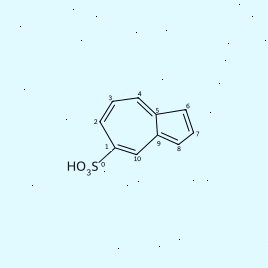 O=S(=O)(O)c1cccc2cccc-2c1